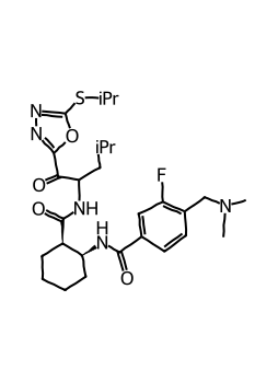 CC(C)CC(NC(=O)[C@@H]1CCCC[C@@H]1NC(=O)c1ccc(CN(C)C)c(F)c1)C(=O)c1nnc(SC(C)C)o1